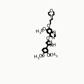 COc1ccc(-c2cc(Oc3ncnc4cc(OCCCN5CCOCC5)c(OC)cc34)n[nH]2)cc1OC